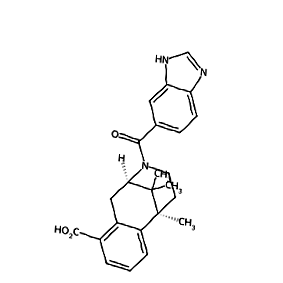 CC1(C)[C@H]2Cc3c(C(=O)O)cccc3[C@]1(C)CCN2C(=O)c1ccc2nc[nH]c2c1